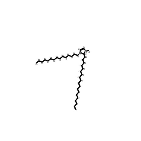 CCCCCCCCCCCCCCCCCCCC1N(C)C=CN1CCCCCCCCCCCCCCC